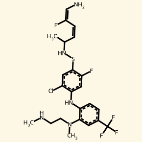 CNCCN(C)c1cc(C(F)(F)F)ccc1Nc1cc(F)c(SNC(C)/C=C\C(F)=C/N)cc1Cl